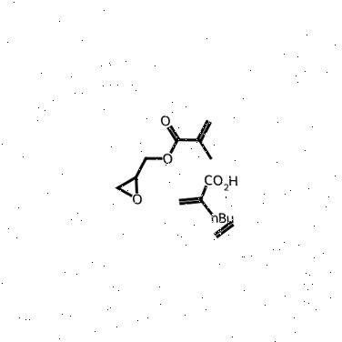 C=C.C=C(C)C(=O)OCC1CO1.C=C(CCCC)C(=O)O